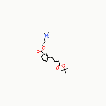 CC(C)(C)OC(=O)/C=C/Cc1cccc(C(=O)OCCC[N+](C)(C)C)c1